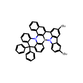 CC(C)(C)c1ccc2c(c1)c1cc(C(C)(C)C)cc3c1n2B1c2cccc4c2N(c2ccccc2C4(c2ccccc2)c2ccccc2)c2c1c-3cc1ccccc21